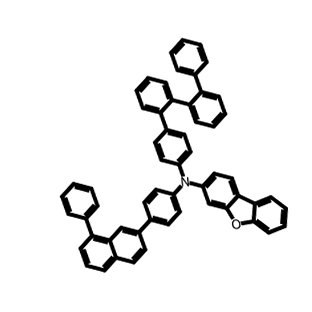 c1ccc(-c2ccccc2-c2ccccc2-c2ccc(N(c3ccc(-c4ccc5cccc(-c6ccccc6)c5c4)cc3)c3ccc4c(c3)oc3ccccc34)cc2)cc1